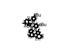 Cc1cc2c(c3c1N1c4cc(C(C)(C)C)cc5c4B(c4ccc6c(c41)C3(C)CCC6(C)C)c1oc3c(c1N5c1ccc(C(C)(C)C)cc1)C(C)(C)CCC3(C)C)C(C)(C)CCC2(C)C